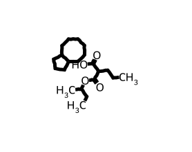 C1CCCC2CCCC2CC1.CCCC(C(=O)O)C(=O)OC(C)CC